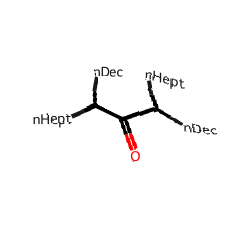 CCCCCCCCCCC(CCCCCCC)C(=O)C(CCCCCCC)CCCCCCCCCC